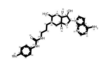 CC1O[C@H]2[C@@H](O)[C@H](n3ccc4c(N)ncnc43)O[C@@H]2CN1CCCNC(=O)Nc1ccc(C(C)(C)C)cc1